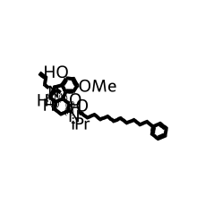 C=CCN1CC[C@]23c4c5c(O)cc(OC)c4O[C@H]2[C@H](N(C(=O)CCCCCCCCCCc2ccccc2)C(C)C)CC[C@H]3[C@H]1C5